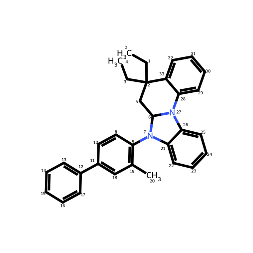 CCC1(CC)CC2N(c3ccc(-c4ccccc4)cc3C)c3ccccc3N2c2ccccc21